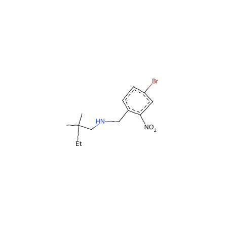 CCC(C)(C)CNCc1ccc(Br)cc1[N+](=O)[O-]